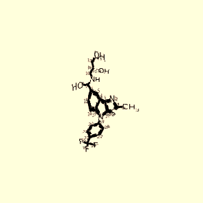 Cc1nc2c3cc(C(O)NC[C@@H](O)CO)ccc3n(-c3ccc(C(F)(F)F)cc3)c2s1